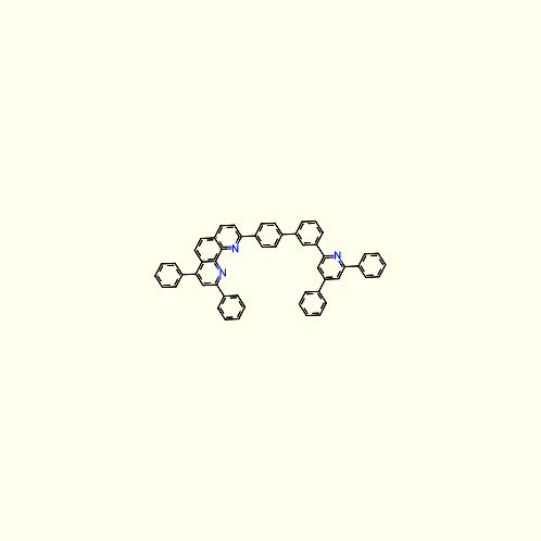 c1ccc(-c2cc(-c3ccccc3)nc(-c3cccc(-c4ccc(-c5ccc6ccc7c(-c8ccccc8)cc(-c8ccccc8)nc7c6n5)cc4)c3)c2)cc1